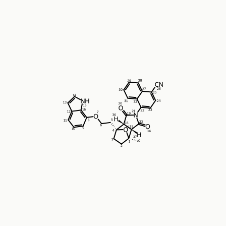 C[C@]12CC[C@](CCOc3cccc4cc[nH]c34)(O1)[C@@H]1C(=O)N(c3ccc(C#N)c4ccccc34)C(=O)[C@@H]12